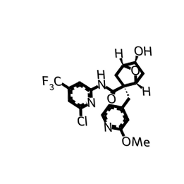 COc1cc(C[C@]2(C(=O)Nc3cc(C(F)(F)F)cc(Cl)n3)C[C@H]3O[C@@H]2C[C@@H]3O)ccn1